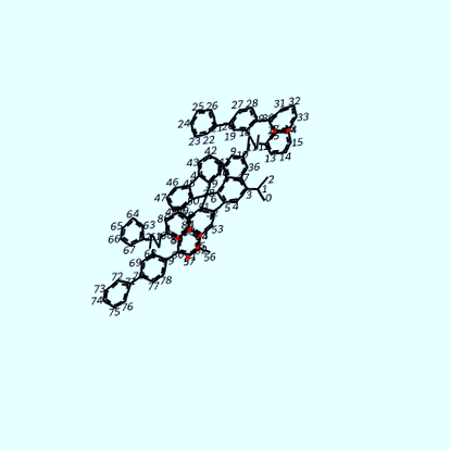 CC(C)c1cc2c(c3ccc(N(c4ccccc4)c4cc(-c5ccccc5)ccc4-c4ccccc4)cc13)C1(c3ccccc3-c3ccccc31)c1c-2cc(C(C)C)c2cc(N(c3ccccc3)c3cc(-c4ccccc4)ccc3-c3ccccc3)ccc12